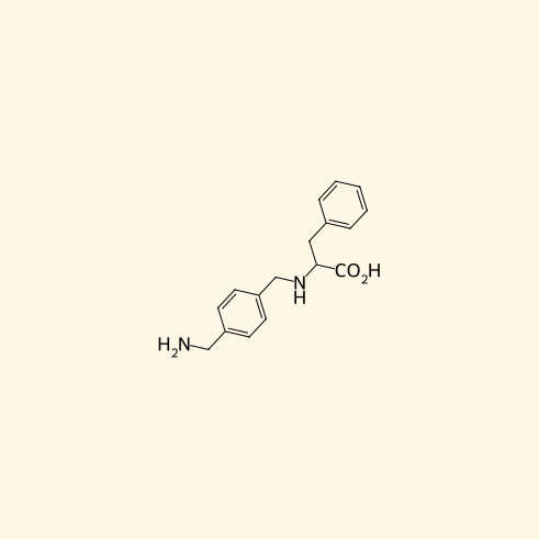 NCc1ccc(CNC(Cc2ccccc2)C(=O)O)cc1